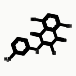 Nc1cccc(NC2=C(Cl)C(=O)c3c(O)ccc(O)c3C2=O)c1